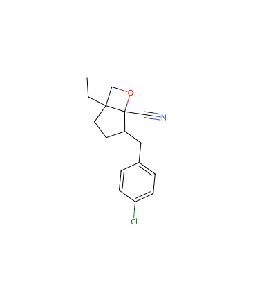 CCC12CCC(Cc3ccc(Cl)cc3)C1(C#N)OC2